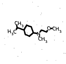 COCCN(C)C1CCC(C(C)C)CC1